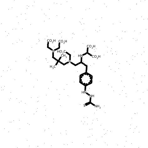 CC(C)(CN(CC(=O)O)CC(=O)O)CN(CC(=O)O)CC(Cc1ccc(NNC(N)=S)cc1)NC(C(=O)O)C(=O)O